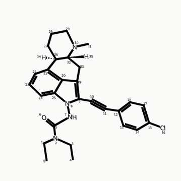 CCN(CC)C(=O)Nn1c(C#Cc2ccc(Cl)cc2)c2c3c(cccc31)[C@H]1CCCN(C)[C@@H]1C2